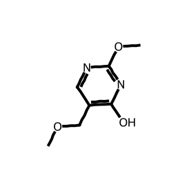 COCc1cnc(OC)nc1O